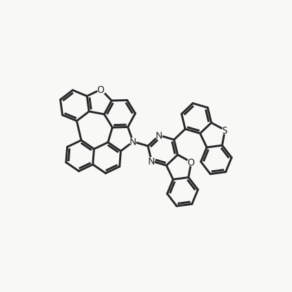 c1cc2c3c(c1)ccc1c3c3c4c(ccc3n1-c1nc(-c3cccc5sc6ccccc6c35)c3oc5ccccc5c3n1)oc1cccc-2c14